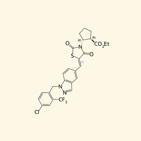 CCOC(=O)[C@@H]1CCC[C@H]1N1C(=O)S/C(=C\c2ccc3c(cnn3Cc3ccc(Cl)cc3C(F)(F)F)c2)C1=O